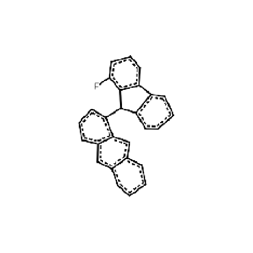 Fc1cccc2c1C(c1cccc3cc4ccccc4cc13)c1ccccc1-2